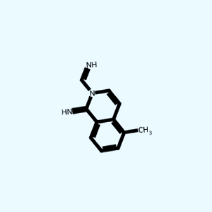 Cc1cccc2c(=N)n(C=N)ccc12